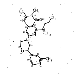 C=C(CCC(F)(F)F)c1nc(N2CCOC(c3ccnc(C)c3)C2)cc2nc(C)n(C)c(=O)c12